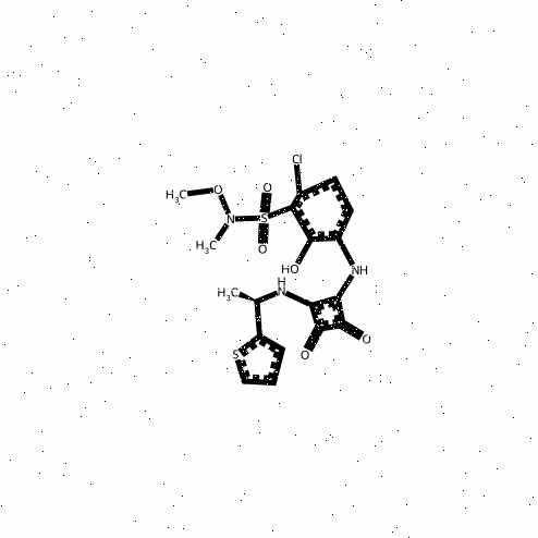 CON(C)S(=O)(=O)c1c(Cl)ccc(Nc2c(N[C@H](C)c3cccs3)c(=O)c2=O)c1O